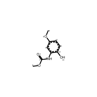 COC(=O)Nc1cc(OC)ccc1O